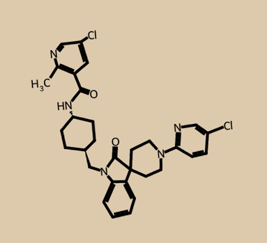 Cc1ncc(Cl)cc1C(=O)N[C@H]1CC[C@H](CN2C(=O)C3(CCN(c4ccc(Cl)cn4)CC3)c3ccccc32)CC1